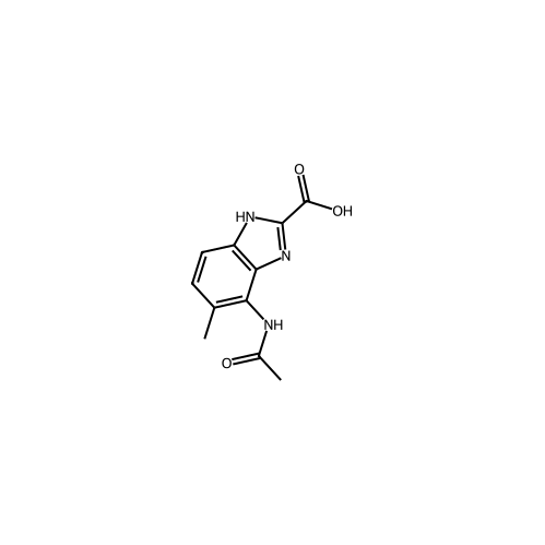 CC(=O)Nc1c(C)ccc2[nH]c(C(=O)O)nc12